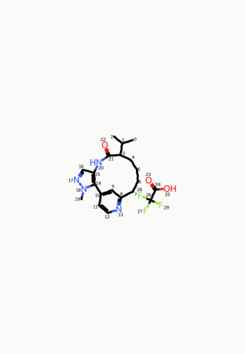 CC(C)C1CCCCc2cc(ccn2)-c2c(cnn2C)NC1=O.O=C(O)C(F)(F)F